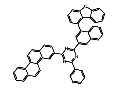 c1ccc(-c2nc(-c3cc(-c4cccc5oc6ccccc6c45)c4ccccc4c3)nc(-c3ccc4ccc5c6ccccc6ccc5c4c3)n2)cc1